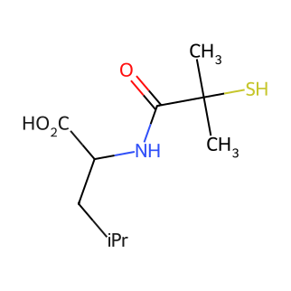 CC(C)CC(NC(=O)C(C)(C)S)C(=O)O